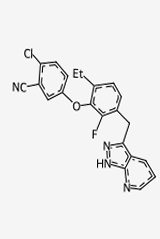 CCc1ccc(Cc2n[nH]c3ncccc23)c(F)c1Oc1ccc(Cl)c(C#N)c1